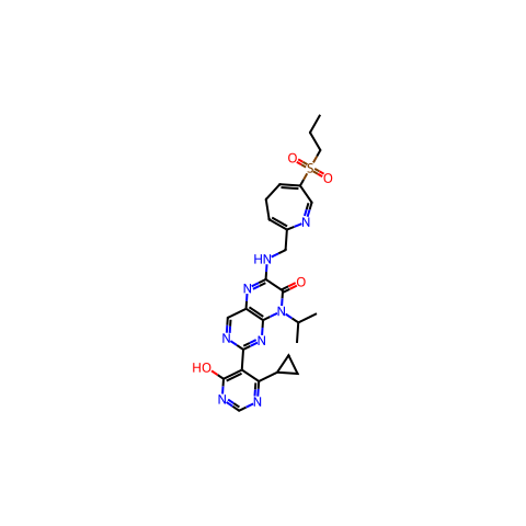 CCCS(=O)(=O)C1=CCC=C(CNc2nc3cnc(-c4c(O)ncnc4C4CC4)nc3n(C(C)C)c2=O)N=C1